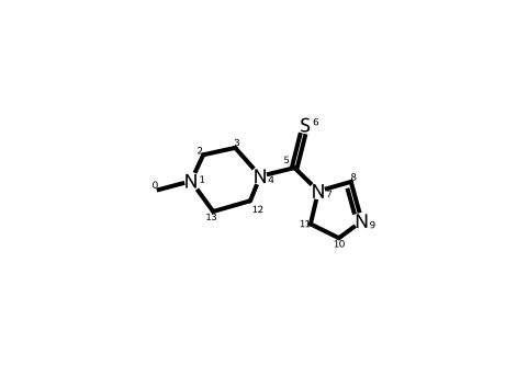 CN1CCN(C(=S)N2C=NCC2)CC1